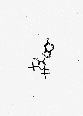 CC(C)(C)C1=C(O)C(n2nc3ccc(Cl)cc3n2)=CC(C)(C(C)(C)C)C1